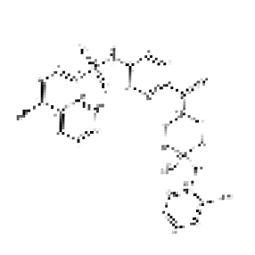 O=C(c1ccc(NS(=O)(=O)c2ccc(F)c3cccnc23)cc1)N1CCC(O)(Cc2ccccc2F)CC1